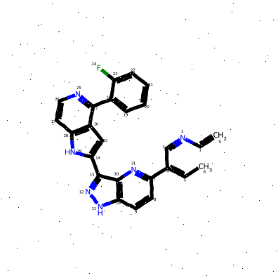 C=C/N=C\C(=C/C)c1ccc2[nH]nc(-c3cc4c(-c5ccccc5F)nccc4[nH]3)c2n1